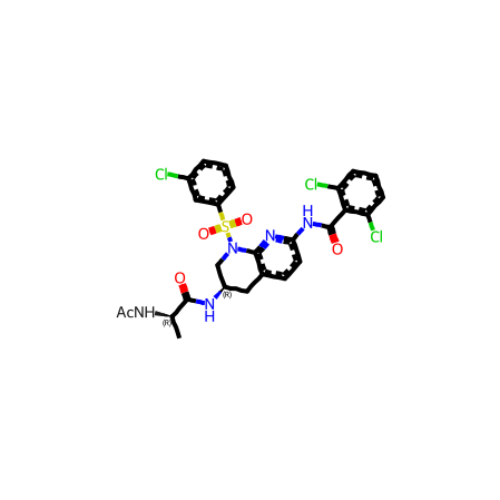 CC(=O)N[C@H](C)C(=O)N[C@@H]1Cc2ccc(NC(=O)c3c(Cl)cccc3Cl)nc2N(S(=O)(=O)c2cccc(Cl)c2)C1